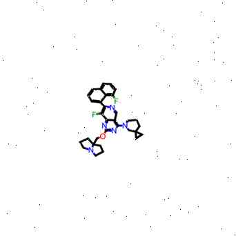 Fc1c(-c2cccc3cccc(F)c23)ncc2c(N3CCCC4(CC4)C3)nc(OCC34CCCN3CCC4)nc12